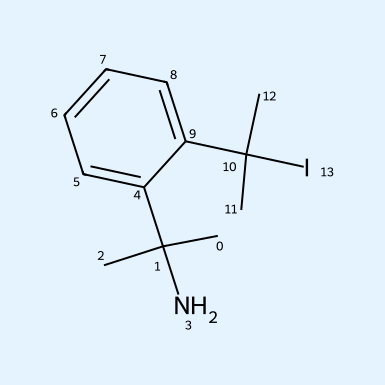 CC(C)(N)c1ccccc1C(C)(C)I